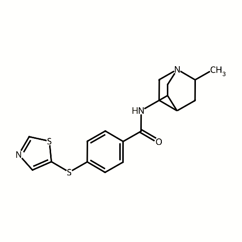 CC1CC2CCN1CC2NC(=O)c1ccc(Sc2cncs2)cc1